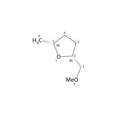 COC[C@H]1CC[C@@H](C)O1